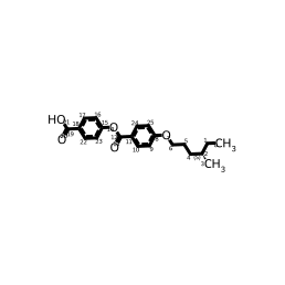 CC[C@H](C)CCCOc1ccc(C(=O)Oc2ccc(C(=O)O)cc2)cc1